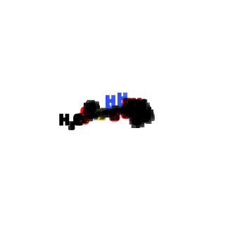 CCOC(=O)CC(CCSCCNC(=O)CCNC(=O)C(O)C(C)(C)COC(c1ccccc1)(c1ccccc1)c1ccccc1)c1ccccc1